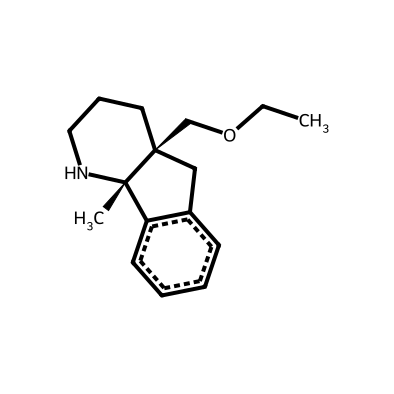 CCOC[C@]12CCCN[C@@]1(C)c1ccccc1C2